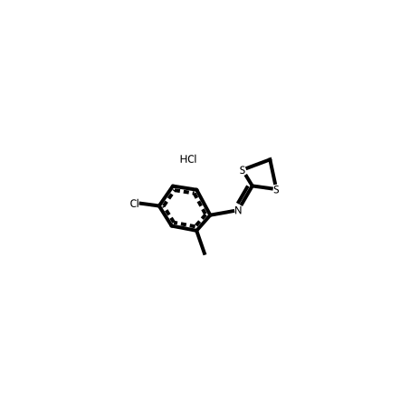 Cc1cc(Cl)ccc1N=C1SCS1.Cl